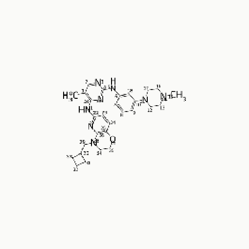 Cc1cnc(Nc2cccc(N3CCN(C)CC3)c2)nc1Nc1ccc2c(n1)N(CC1CCC1)CCO2